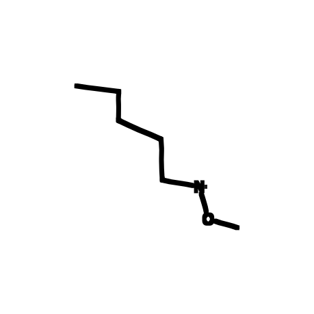 CCCCC[N]OC